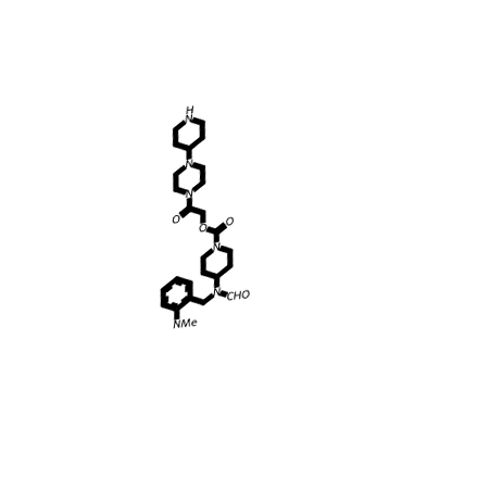 CNc1ccccc1CN(C=O)C1CCN(C(=O)OCC(=O)N2CCN(C3CCNCC3)CC2)CC1